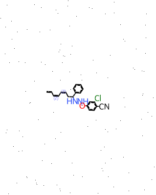 C=C/C=C\C=C/CC(NNOc1ccc(C#N)c(Cl)c1)c1ccccc1